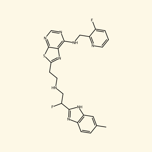 Cc1ccc2nc(C(F)CNCCc3nc4c(NCc5ncccc5F)ncnc4s3)[nH]c2c1